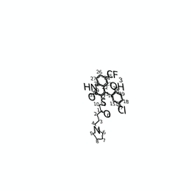 O=C(CCCN1CCCC1)CSc1c(-c2cc(Cl)ccc2O)c2cc(C(F)(F)F)ccc2[nH]c1=O